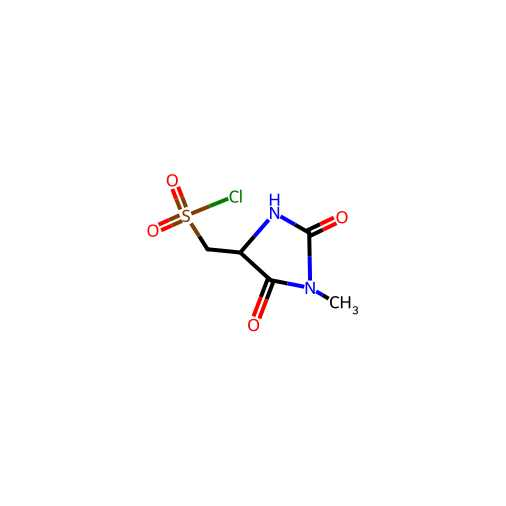 CN1C(=O)NC(CS(=O)(=O)Cl)C1=O